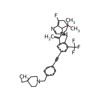 C=C1c2cc(C#Cc3ccc(CN4CCC(CC)CC4)cc3)cc(C(F)(F)F)c2CN1C(C1=C(/F)CCCN/C=N\1)C(C)C